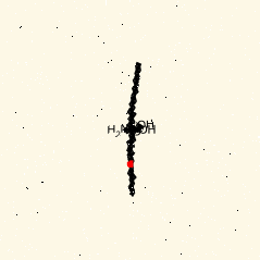 CCCCCCCCCCCCCCCCCCC(CN)(CCCCCCCCCCCCCCCCCC)OP(=O)(O)O